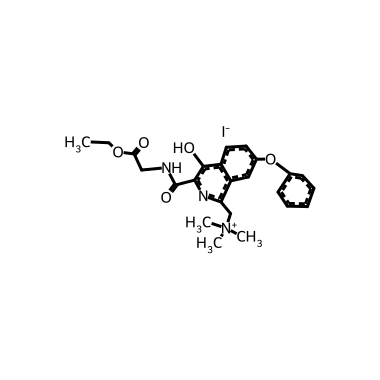 CCOC(=O)CNC(=O)c1nc(C[N+](C)(C)C)c2cc(Oc3ccccc3)ccc2c1O.[I-]